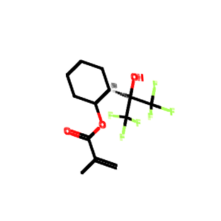 C=C(C)C(=O)OC1CCCC[C@@H]1C(O)(C(F)(F)F)C(F)(F)F